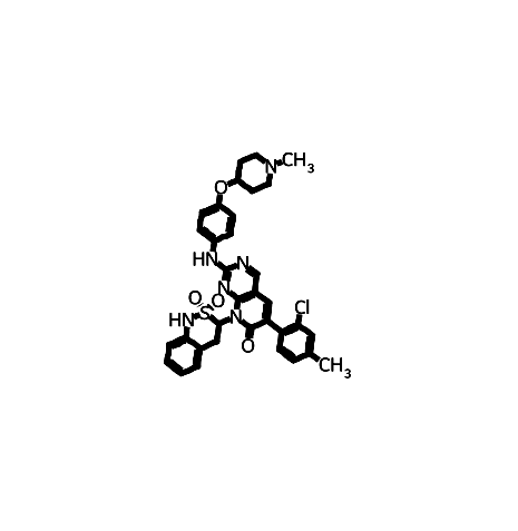 Cc1ccc(-c2cc3cnc(Nc4ccc(OC5CCN(C)CC5)cc4)nc3n(C3Cc4ccccc4NS3(=O)=O)c2=O)c(Cl)c1